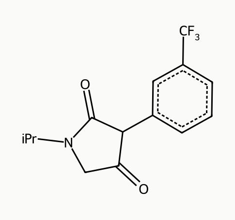 CC(C)N1CC(=O)C(c2cccc(C(F)(F)F)c2)C1=O